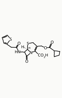 O=C(Cc1cccs1)NC1C(=O)N2C(C(=O)O)=C(COC(=O)C3CCC3)CS[C@H]12